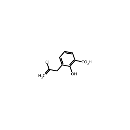 C=C(Cl)Cc1cccc(C(=O)O)c1O